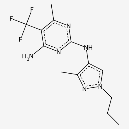 CCCn1cc(Nc2nc(C)c(C(F)(F)F)c(N)n2)c(C)n1